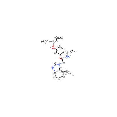 COCC(C)Oc1ccc([C@H](C)NC(=O)Cn2cnc3cccc([N+](=O)[O-])c32)cc1